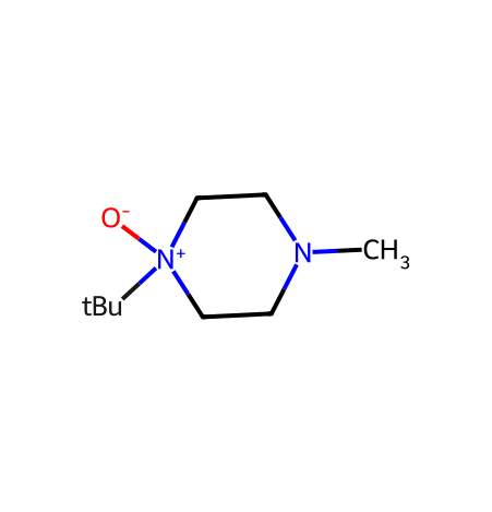 CN1CC[N+]([O-])(C(C)(C)C)CC1